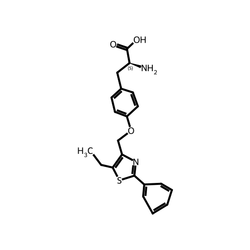 CCc1sc(-c2ccccc2)nc1COc1ccc(C[C@H](N)C(=O)O)cc1